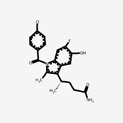 Cc1c([C@@H](C)CCC(N)=O)c2cc(O)c(F)cc2n1C(=O)c1ccc(Cl)cc1